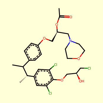 CC(=O)O[C@H](COc1ccc(C(C)[C@@H](C)c2cc(Cl)c(OC[C@H](O)CCl)c(Cl)c2)cc1)CN1CCOCC1